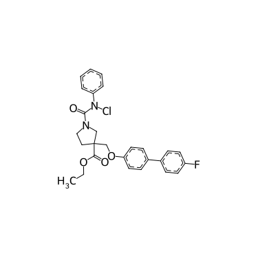 CCOC(=O)C1(COc2ccc(-c3ccc(F)cc3)cc2)CCN(C(=O)N(Cl)c2ccccc2)C1